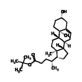 C[C@H](CCC(=O)OC(C)(C)C)[C@H]1CC[C@H]2[C@@H]3CC=C4C[C@@H](O)CC[C@]4(C)[C@H]3CC[C@]12C